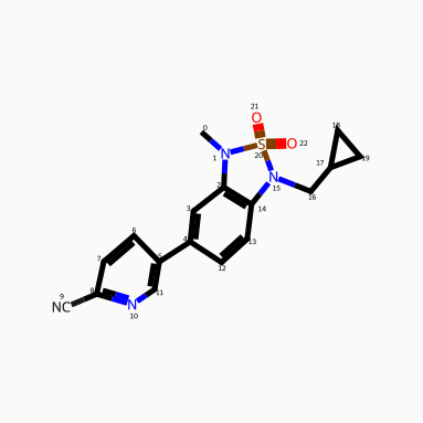 CN1c2cc(-c3ccc(C#N)nc3)ccc2N(CC2CC2)S1(=O)=O